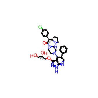 O=C([C@@H](c1ccc(Cl)cc1)[C@@H]1CCCN1)N1CCN(c2c(-c3ccccc3)cnc3[nH]nc(OC[C@@H](O)CO)c23)CC1